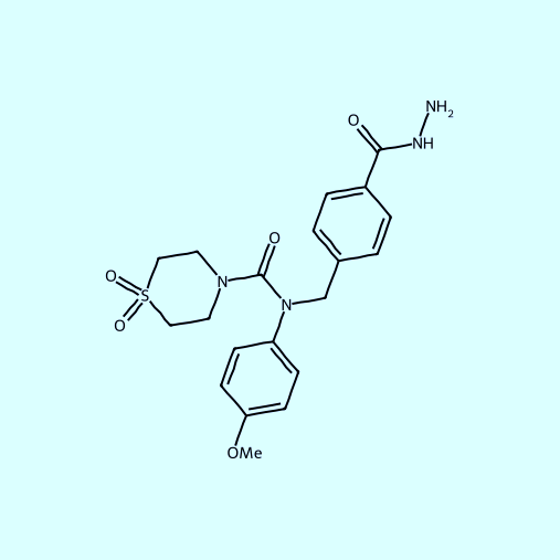 COc1ccc(N(Cc2ccc(C(=O)NN)cc2)C(=O)N2CCS(=O)(=O)CC2)cc1